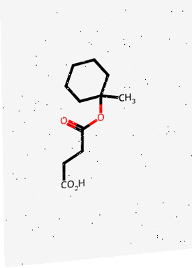 CC1(OC(=O)CCC(=O)O)CCCCC1